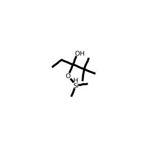 CCC(O)(O[SiH](C)C)C(C)(C)C